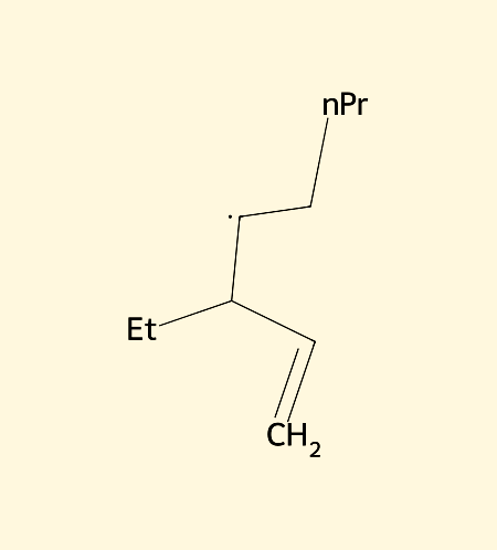 C=CC([CH]CCCC)CC